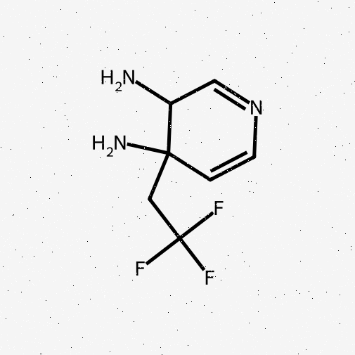 NC1C=NC=CC1(N)CC(F)(F)F